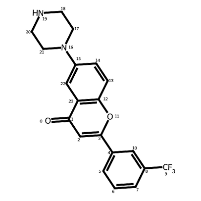 O=c1cc(-c2cccc(C(F)(F)F)c2)oc2ccc(N3CCNCC3)cc12